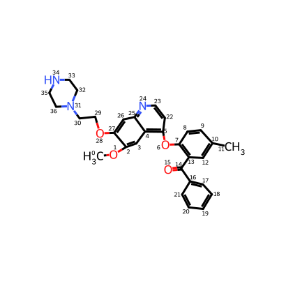 COc1cc2c(Oc3ccc(C)cc3C(=O)c3ccccc3)ccnc2cc1OCCN1CCNCC1